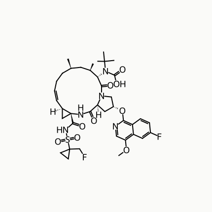 COc1cnc(O[C@@H]2C[C@H]3C(=O)N[C@]4(C(=O)NS(=O)(=O)C5(CF)CC5)C[C@H]4/C=C\CC[C@@H](C)C[C@@H](C)[C@H](N(C(=O)O)C(C)(C)C)C(=O)N3C2)c2ccc(F)cc12